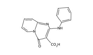 O=C(O)c1c(Nc2ccccc2)nc2ccccn2c1=O